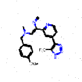 C=N/C(=C\N(C)Cc1ccc(OC)cc1)c1cc(-c2nn[nH]c2C(F)(F)F)ccn1